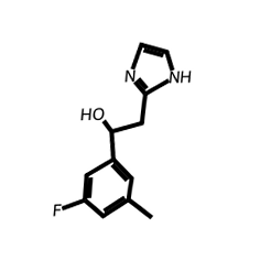 Cc1cc(F)cc(C(O)Cc2ncc[nH]2)c1